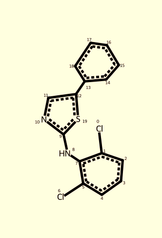 Clc1cccc(Cl)c1Nc1ncc(-c2ccccc2)s1